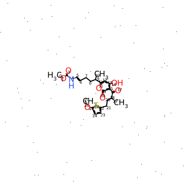 COC(=O)N/C=C/CCC(C)c1cc(O)c(C(=O)C(C)CCc2ccc(OC)s2)c(=O)o1